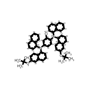 CC(C)(C)Oc1ccc2c(N(c3ccc(N(c4cccc5ccccc45)c4cccc5cc(OC(C)(C)C)ccc45)c(Cl)c3)c3cccc4ccccc34)cccc2c1